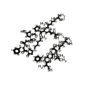 CC(C)C[C@H](NC(=O)[C@@H](Cc1ccccc1)NC(=O)C(N)CS)C(=O)N[C@@H](CCCNC(=N)N)C(=O)O.CCCCCC[C@@H]1CC(=O)N(C(=O)[C@H](Cc2ccccc2)NC(=O)CNC(=O)[C@@H]2C[C@H](O)CN2C(=O)[C@@H]2CCCN2C(=O)[C@H](CCCNC(=N)N)NC(=O)[C@H](N)CCCNC(=N)N)C1